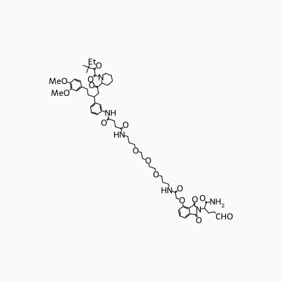 CCC(C)(C)C(=O)C(=O)N1CCCCC1C(=O)CC(CCc1ccc(OC)c(OC)c1)c1cccc(NC(=O)CCC(=O)NCCCOCCOCCOCCCNC(=O)COc2cccc3c2C(=O)N(C(CCC=O)C(N)=O)C3=O)c1